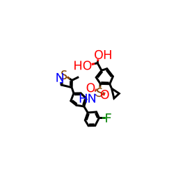 Cc1sncc1-c1ccc(-c2cccc(F)c2)c(NS(=O)(=O)c2cc(C(O)O)ccc2C2CC2)c1